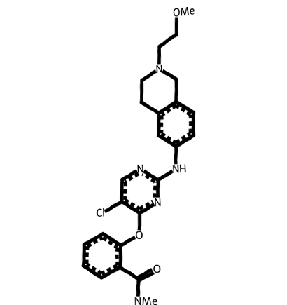 CNC(=O)c1ccccc1Oc1nc(Nc2ccc3c(c2)CCN(CCOC)C3)ncc1Cl